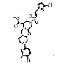 COC(=O)C1CN(S(=O)(=O)C=Cc2ccc(Cl)s2)CC(=O)N1CC1CCN(c2ccc(=O)n(C)n2)CC1